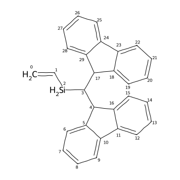 C=C[SiH2]C(C1c2ccccc2-c2ccccc21)C1c2ccccc2-c2ccccc21